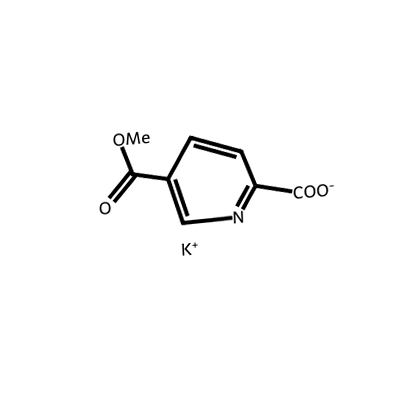 COC(=O)c1ccc(C(=O)[O-])nc1.[K+]